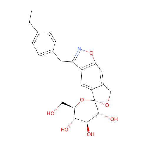 CCc1ccc(Cc2noc3cc4c(cc23)[C@]2(OC4)O[C@H](CO)[C@@H](O)[C@H](O)[C@H]2O)cc1